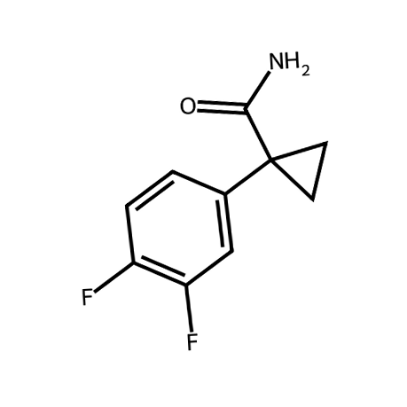 NC(=O)C1(c2ccc(F)c(F)c2)CC1